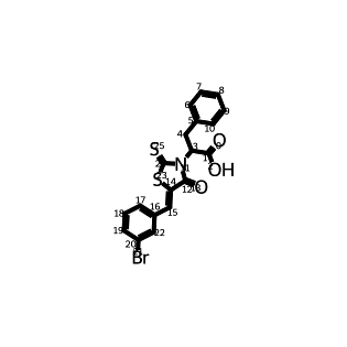 O=C(O)C(Cc1ccccc1)N1C(=O)/C(=C/c2cccc(Br)c2)SC1=S